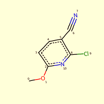 COc1ccc(C#N)c(Cl)n1